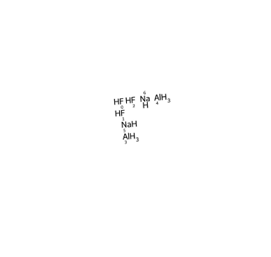 F.F.F.[AlH3].[AlH3].[NaH].[NaH]